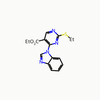 CCOC(=O)c1cnc(SCC)nc1-n1cnc2ccccc21